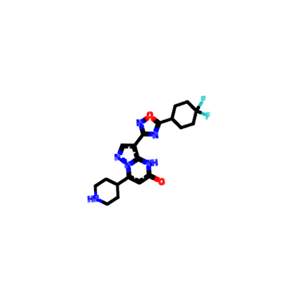 O=c1cc(C2CCNCC2)n2ncc(-c3noc(C4CCC(F)(F)CC4)n3)c2[nH]1